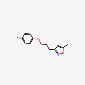 Cc1ccc(OCCCc2cc(C)on2)cc1